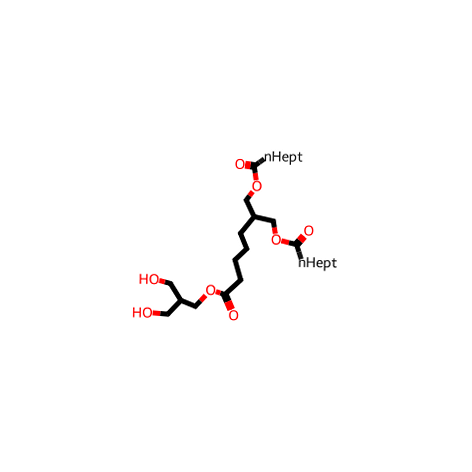 CCCCCCCC(=O)OCC(CCCCC(=O)OCC(CO)CO)COC(=O)CCCCCCC